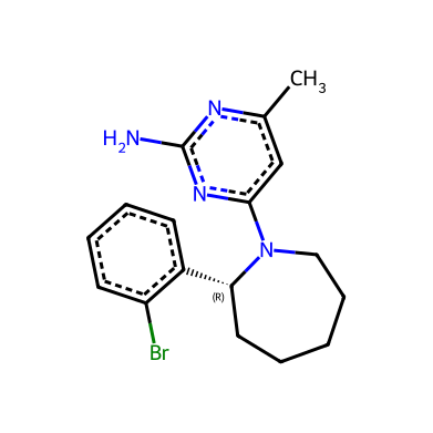 Cc1cc(N2CCCCC[C@@H]2c2ccccc2Br)nc(N)n1